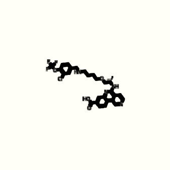 C[C@@H](COCCCCNCc1ccc(OC(F)(F)F)c(Cl)c1)Nc1nc2cc(C(=O)O)ccc2c2cnccc12